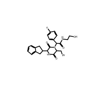 CC(C)CC1C(=O)NC(C2Cc3ccccc3C2)C(=O)N1C(C(=O)NCCO)c1ccc(F)cc1